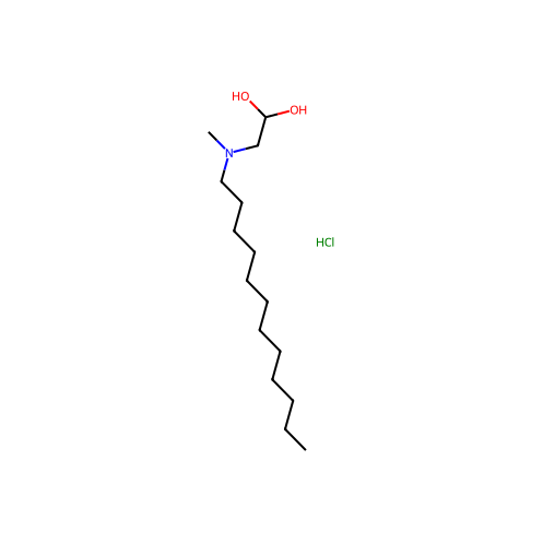 CCCCCCCCCCCCN(C)CC(O)O.Cl